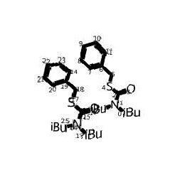 CCC(C)N(C(=O)SCc1ccccc1)C(C)CC.CCC(C)N(C(=O)SCc1ccccc1)C(C)CC